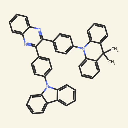 CC1(C)c2ccccc2N(c2ccc(-c3nc4ccccc4nc3-c3ccc(-n4c5ccccc5c5ccccc54)cc3)cc2)c2ccccc21